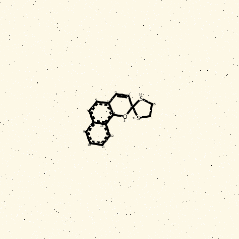 C1=CC2(Oc3c1ccc1ccccc31)SCCS2